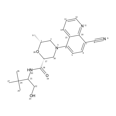 C[C@@H]1CN(c2ccc(C#N)c3ncccc23)C[C@H](C(=O)NC(CO)C(C)(C)C)O1